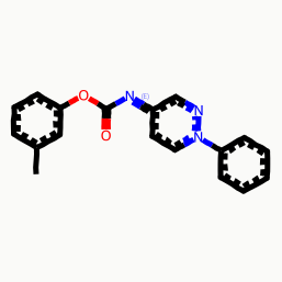 Cc1cccc(OC(=O)/N=c2\ccn(-c3ccccc3)nc2)c1